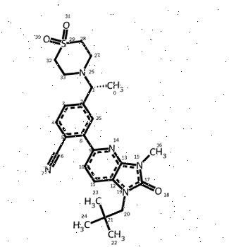 C[C@H](c1ccc(C#N)c(-c2ccc3c(n2)n(C)c(=O)n3CC(C)(C)C)c1)N1CCS(=O)(=O)CC1